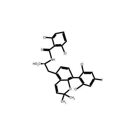 CC1(C)C=Cc2c(C[C@H](NC(=O)c3c(Cl)cccc3Cl)C(=O)O)ccc(-c3c(Cl)cc(F)cc3Cl)c2O1